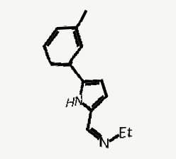 CC/N=C\c1ccc(C2C=C(C)C=CC2)[nH]1